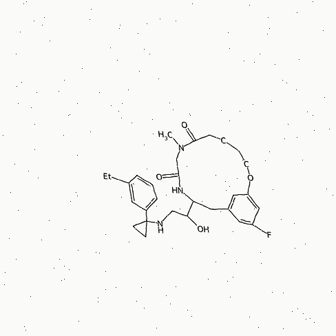 CCc1cccc(C2(NCC(O)C3Cc4cc(F)cc(c4)OCCCCC(=O)N(C)CC(=O)N3)CC2)c1